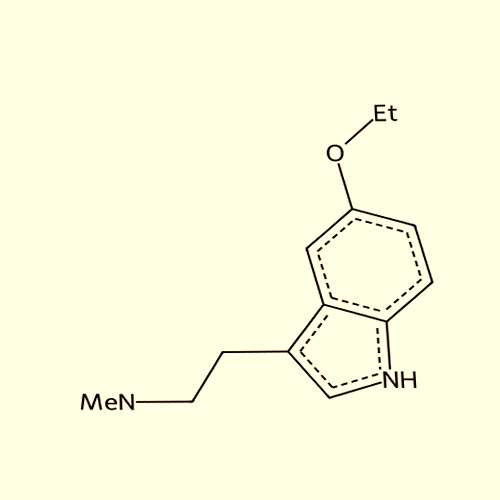 CCOc1ccc2[nH]cc(CCNC)c2c1